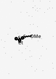 CCn1cc(-c2ccccc2)c(=S)c(-c2ccc(SCCCCCCOC)cc2)c1